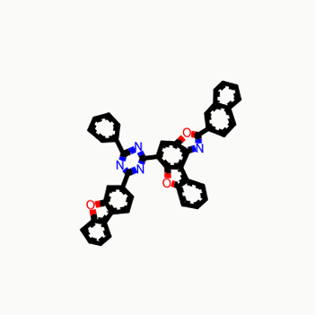 c1ccc(-c2nc(-c3ccc4c(c3)oc3ccccc34)nc(-c3cc4oc(-c5ccc6ccccc6c5)nc4c4c3oc3ccccc34)n2)cc1